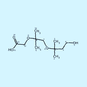 CC(C)(CCO)OCC(C)(C)OCC(=O)O